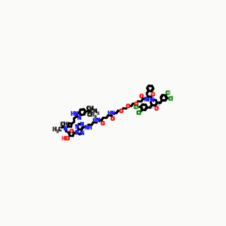 CC(C)N(C[C@H]1O[C@@H](n2cnc3c(NCCCCNC(=O)CCCC(=O)NCCOCCOCCOCCC(=O)N[C@@H](Cc4ccccc4)C(=O)N4C/C(=C\c5ccc(Cl)c(Cl)c5)C(=O)/C(=C/c5ccc(Cl)c(Cl)c5)C4)ncnc32)CC1O)C1CC(CCc2nc3cc(C(C)(C)C)ccc3[nH]2)C1